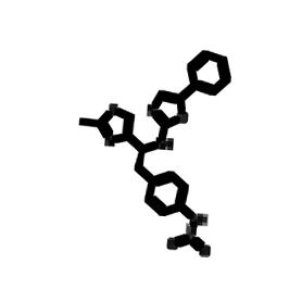 Cc1nc([C@H](Cc2ccc(N[SH](=O)=O)cc2)Nc2ncc(-c3ccccc3)o2)cs1